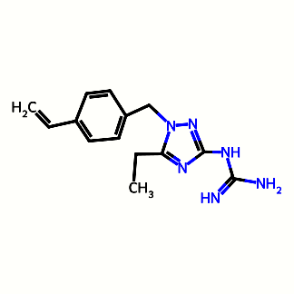 C=Cc1ccc(Cn2nc(NC(=N)N)nc2CC)cc1